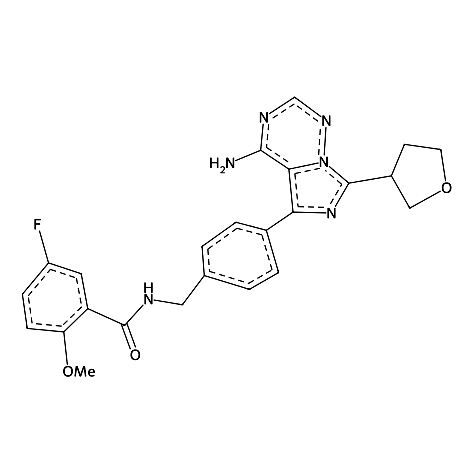 COc1ccc(F)cc1C(=O)NCc1ccc(-c2nc(C3CCOC3)n3ncnc(N)c23)cc1